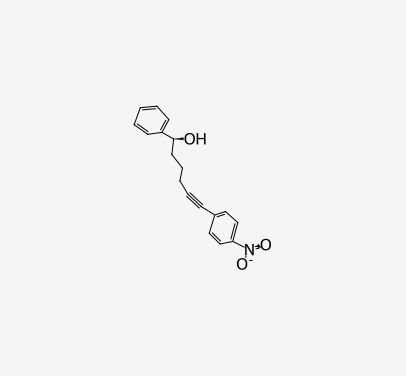 O=[N+]([O-])c1ccc(C#CCCC[C@H](O)c2ccccc2)cc1